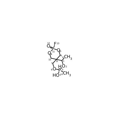 CC1O[PH](C)(O)OCC12COP(=O)(F)OC2